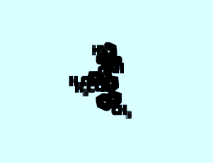 Cc1ccc(-c2ccc(C(=O)NS(=O)(=O)c3ccc[nH]c3=O)c(N3CCC(C)C3(C)C)n2)c2ccccc12